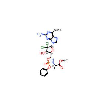 CNc1nc(N)nc2c1ncn2[C@@H]1O[C@H](CO[P@@](=O)(N[C@H](C)C(=O)OC(C)C)Oc2ccccc2)[C@@H](O)C1(Cl)Cl